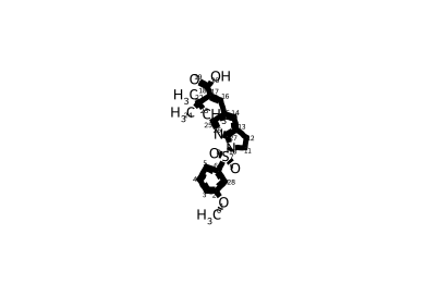 COc1cccc(S(=O)(=O)N2CCc3cc(/C=C(/C(=O)O)C(C)(C)C)cnc32)c1